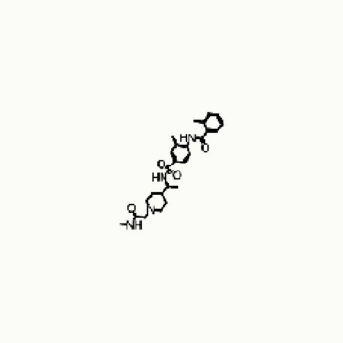 CNC(=O)CN1CCC(C(C)NS(=O)(=O)c2ccc(NC(=O)c3ccccc3C)c(C)c2)CC1